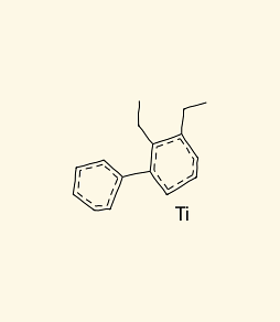 CCc1cccc(-c2ccccc2)c1CC.[Ti]